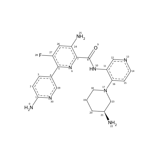 Nc1ccc(-c2nc(C(=O)Nc3cnccc3N3CCC[C@H](N)C3)c(N)cc2F)cn1